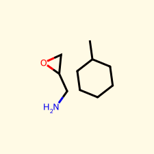 CC1CCCCC1.NCC1CO1